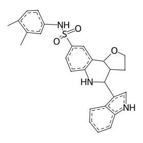 Cc1ccc(NS(=O)(=O)c2ccc3c(c2)C2OCCC2C(c2c[nH]c4ccccc24)N3)cc1C